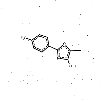 Cc1oc(-c2ccc(C(F)(F)F)cc2)nc1C=O